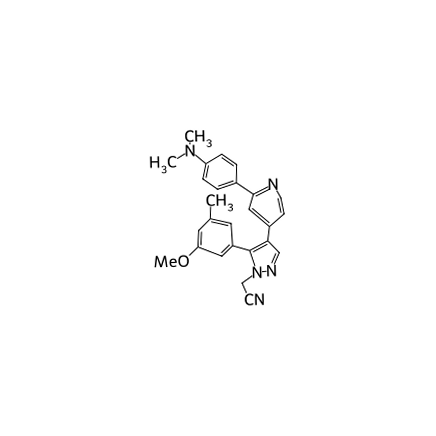 COc1cc(C)cc(-c2c(-c3ccnc(-c4ccc(N(C)C)cc4)c3)cnn2CC#N)c1